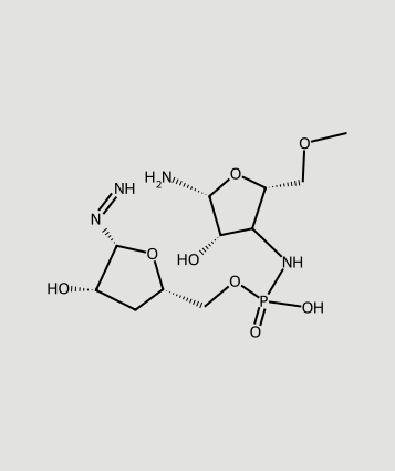 COC[C@H]1O[C@@H](N)[C@@H](O)C1NP(=O)(O)OC[C@@H]1C[C@H](O)[C@H](N=N)O1